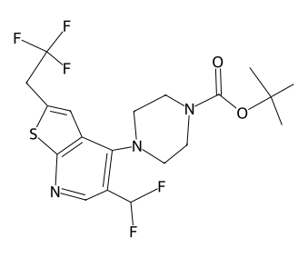 CC(C)(C)OC(=O)N1CCN(c2c(C(F)F)cnc3sc(CC(F)(F)F)cc23)CC1